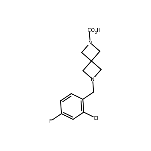 O=C(O)N1CC2(CN(Cc3ccc(F)cc3Cl)C2)C1